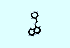 c1ccc2c(OCC3CCNCC3)cccc2c1